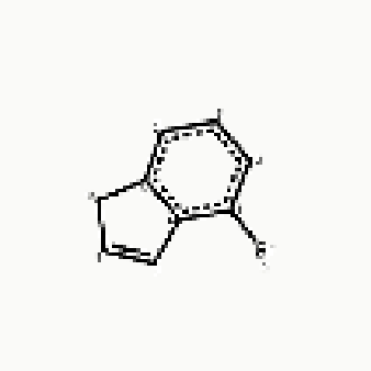 Brc1cc[c]c2c1C=CC2